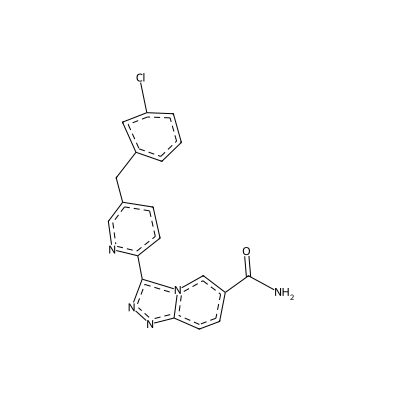 NC(=O)c1ccc2nnc(-c3ccc(Cc4cccc(Cl)c4)cn3)n2c1